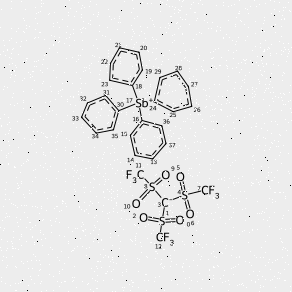 O=S(=O)([C-](S(=O)(=O)C(F)(F)F)S(=O)(=O)C(F)(F)F)C(F)(F)F.c1cc[c]([Sb+]([c]2ccccc2)([c]2ccccc2)[c]2ccccc2)cc1